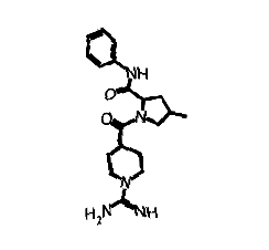 CC1CC(C(=O)Nc2ccccc2)N(C(=O)C2CCN(C(=N)N)CC2)C1